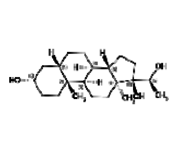 C[C@H](O)[C@@]1(O)CC[C@H]2[C@@H]3CC[C@H]4C[C@@H](O)CC[C@@]4(C)[C@@H]3CC[C@@]21C